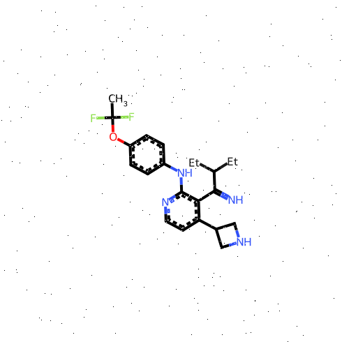 CCC(CC)C(=N)c1c(C2CNC2)ccnc1Nc1ccc(OC(C)(F)F)cc1